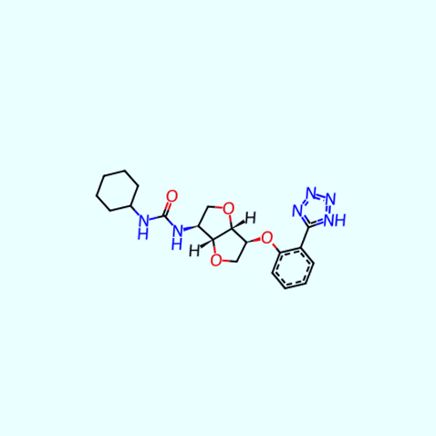 O=C(NC1CCCCC1)N[C@H]1CO[C@H]2[C@@H]1OC[C@@H]2Oc1ccccc1-c1nnn[nH]1